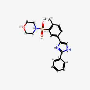 Cc1ccc(-c2c[nH]c(-c3ccccc3)n2)cc1S(=O)(=O)N1CCOCC1